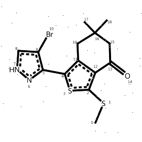 CSc1sc(-c2n[nH]cc2Br)c2c1C(=O)CC(C)(C)C2